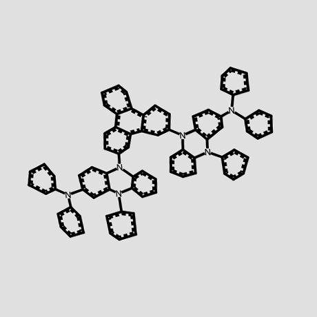 c1ccc(N(c2ccccc2)c2ccc3c(c2)N(c2ccccc2)c2ccccc2N3c2ccc3c4ccccc4c4ccc(N5c6ccccc6N(c6ccccc6)c6cc(N(c7ccccc7)c7ccccc7)ccc65)cc4c3c2)cc1